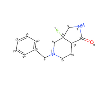 O=C1NCC2(F)CN(Cc3ccccc3)CCC12